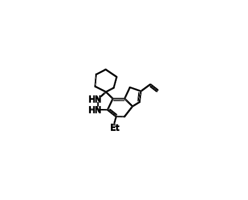 C=CC1=CC2CC(CC)=C3NNC4(CCCCC4)C3=C2C1